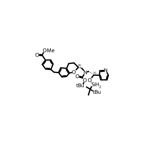 COC(=O)c1ccc(Cc2ccc3c(c2)CC[C@H](CN(C[C@@H](O[SiH2]C(C)(C)C(C)(C)C)c2cccnc2)C(=O)OC(C)(C)C)O3)cc1